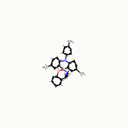 Cc1ccc(N2c3ccc(C)cc3[B-]3(Oc4ccccc4-c4cccc[n+]43)c3cc(C)ccc32)cc1